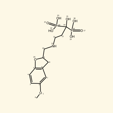 COc1ccc2c(c1)CC(CNCCC(O)(P(=O)(O)O)P(=O)(O)O)O2